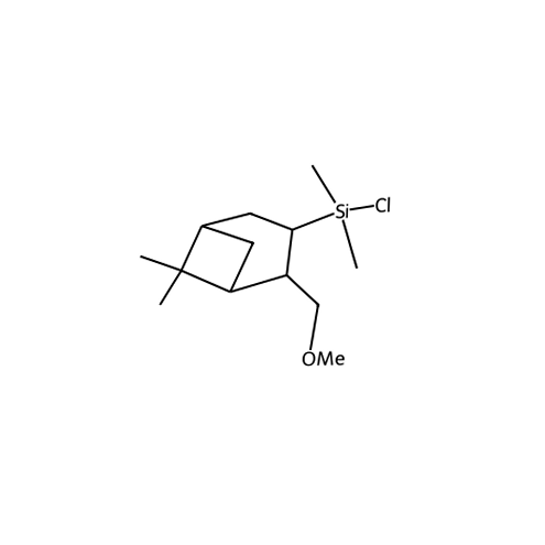 COCC1C2CC(CC1[Si](C)(C)Cl)C2(C)C